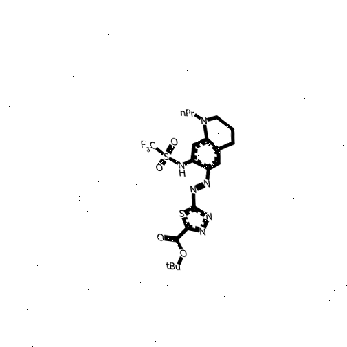 CCCN1CCCc2cc(N=Nc3nnc(C(=O)OC(C)(C)C)s3)c(NS(=O)(=O)C(F)(F)F)cc21